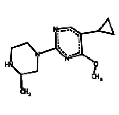 COc1nc(N2CCN[C@H](C)C2)ncc1C1CC1